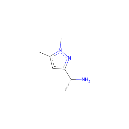 Cc1cc([C@@H](C)N)nn1C